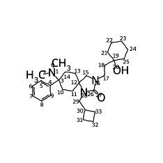 CN(C)C1(c2ccccc2)CCC2(CC1)CN(CCC1(O)CCCCC1)C(=O)N2CC1CCC1